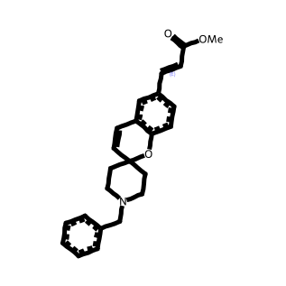 COC(=O)/C=C/c1ccc2c(c1)C=CC1(CCN(Cc3ccccc3)CC1)O2